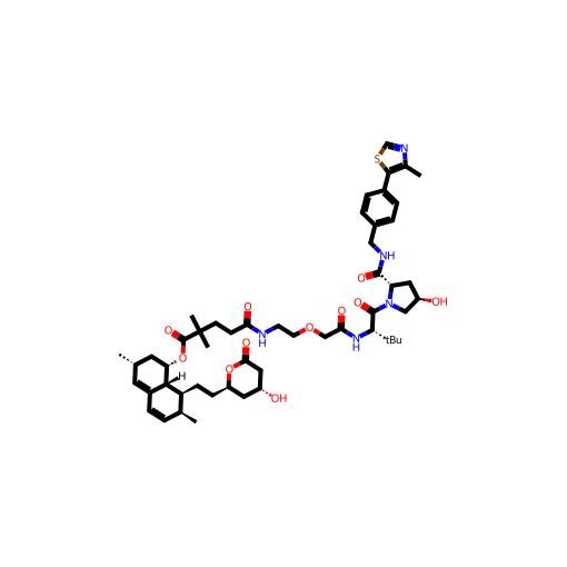 Cc1ncsc1-c1ccc(CNC(=O)[C@@H]2C[C@@H](O)CN2C(=O)[C@@H](NC(=O)COCCNC(=O)CCC(C)(C)C(=O)O[C@H]2C[C@@H](C)C=C3C=C[C@H](C)[C@H](CC[C@@H]4C[C@@H](O)CC(=O)O4)[C@H]32)C(C)(C)C)cc1